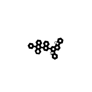 C1=c2c(-c3ccccc3)c3ccccc3c(-c3ccc(-c4cc5c(ccc6c7ccccc7oc65)c5c4sc4ccccc45)c4ccccc34)c2=CCC1